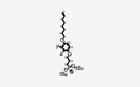 C=CCCCCCCOc1ccc(OCCCP(=O)(OC(C)(C)C)OC(C)(C)C)c(F)c1F